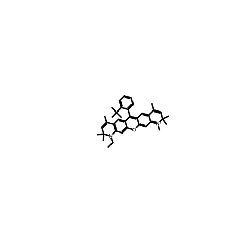 CCN1c2cc3c(cc2C(C)=CC1(C)C)C(c1ccccc1C(C)(C)C)=c1cc2c(cc1O3)=[N+](C)C(C)(C)C=C2C